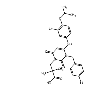 CC(C)Oc1ccc(Nc2cc(=O)n(CC(C)(C)C(=O)O)c(=O)n2Cc2ccc(Cl)cc2)cc1Cl